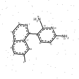 Cc1ccc2ccnc(-c3ccc(N)nc3N)c2c1